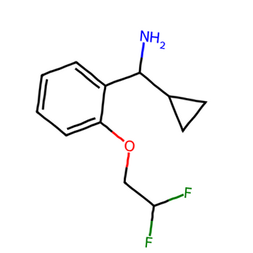 NC(c1ccccc1OCC(F)F)C1CC1